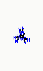 N#CC1=N\CC2=C=C(/N=C\1C#N)c1nc(C#N)c(C#N)nc1-c1nc(C#N)c(C#N)nc12